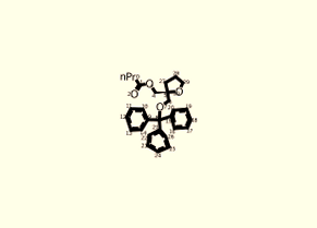 CCCC(=O)OC[C@@]1(COC(c2ccccc2)(c2ccccc2)c2ccccc2)CCCO1